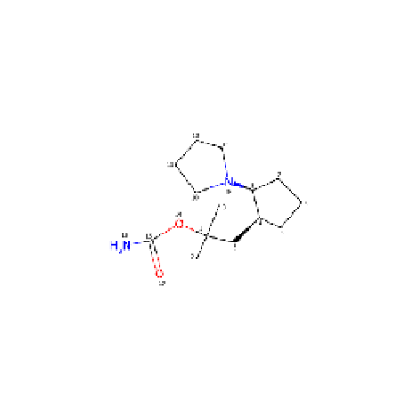 CC(C)(C[C@@H]1CCC[C@@H]1N1CCCC1)OC(N)=O